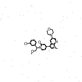 COCC(c1cccc(Cl)c1)n1ccc(-c2cn(C)c3ncc(N4CCOCC4)cc23)cc1=O